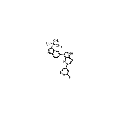 CC(C)(C)n1cnc2ccc(-c3c[nH]c4ncc(-c5cncc(F)c5)nc34)cc21